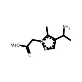 COC(=O)Cn1ncc(C(C)N)c1C